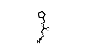 N#CSCC(=O)OCC1CCCC1